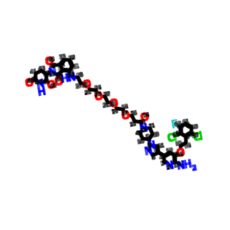 Nc1ncc(-c2cnn(C3CCN(C(=O)CCOCCOCCOCCOCCNc4cccc5c4C(=O)N([C@@H]4CCC(=O)NC4=O)C5=O)CC3)c2)cc1OCCc1c(Cl)ccc(F)c1Cl